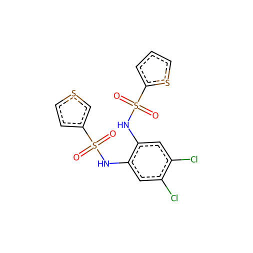 O=S(=O)(Nc1cc(Cl)c(Cl)cc1NS(=O)(=O)c1cccs1)c1ccsc1